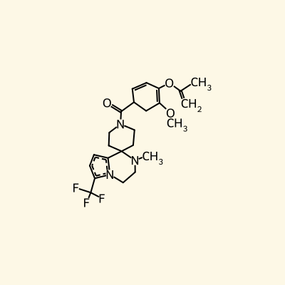 C=C(C)OC1=C(OC)CC(C(=O)N2CCC3(CC2)c2ccc(C(F)(F)F)n2CCN3C)C=C1